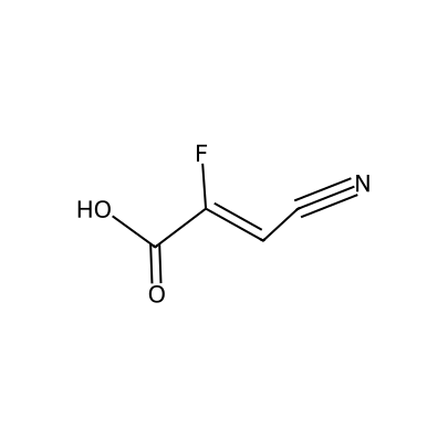 N#CC=C(F)C(=O)O